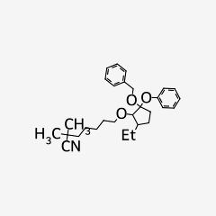 CCC1CCC(OCc2ccccc2)(Oc2ccccc2)C1OCCCCCC(C)(C)C#N